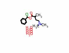 C=C(CCN(C)C)C(=O)OC(Cl)c1ccccc1.O.O.O.O